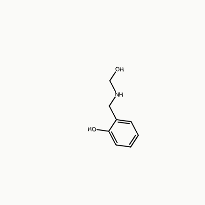 OCNCc1ccccc1O